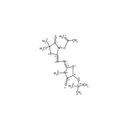 C=C(C)CN1C(=O)C(C)(C)S/C1=N/N=C1/SC(O[Si](C)(C)C)C(=O)N1C